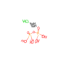 Cl.O=P(O)(O)OP(=O)(O)O.[NaH].[NaH]